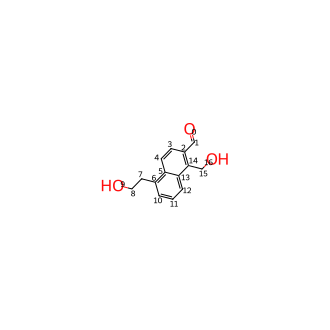 O=Cc1ccc2c(CCO)cccc2c1CO